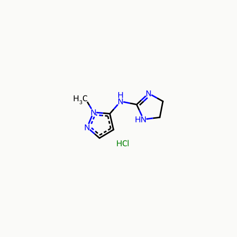 Cl.Cn1nccc1NC1=NCCN1